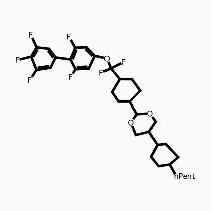 CCCCCC1CCC(C2COC(C3CCC(C(F)(F)Oc4cc(F)c(-c5cc(F)c(F)c(F)c5)c(F)c4)CC3)OC2)CC1